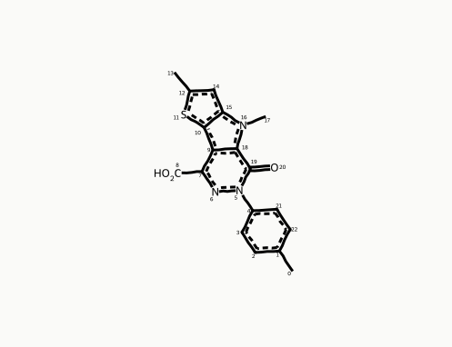 Cc1ccc(-n2nc(C(=O)O)c3c4sc(C)cc4n(C)c3c2=O)cc1